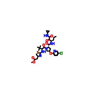 CCC[C@@H](NC(=O)[C@@H]1CC(Oc2ccc(Cl)cn2)CN1C(=O)[C@@H](NC1=NC(CC(=O)OC)CS1)C(C)(C)C)C(=O)C(=O)NC1CC1